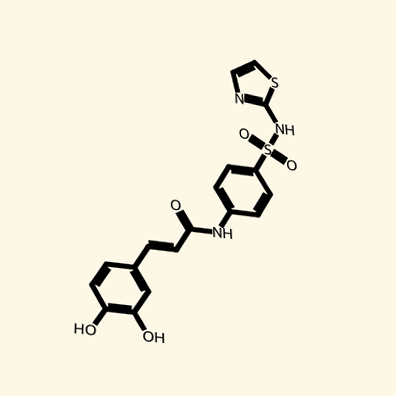 O=C(C=Cc1ccc(O)c(O)c1)Nc1ccc(S(=O)(=O)Nc2nccs2)cc1